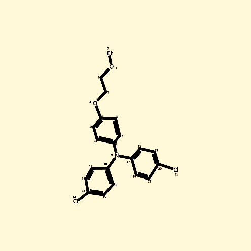 CCOCCOc1ccc(N(c2ccc(Cl)cc2)c2ccc(Cl)cc2)cc1